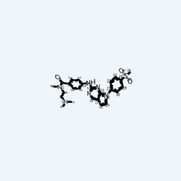 CN(C)CCN(C)C(=O)c1ccc(Nc2ncc3ccn(-c4ccc(S(C)(=O)=O)cc4)c3n2)cc1